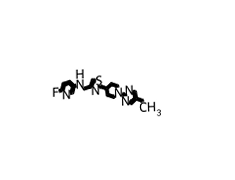 CCc1cnc(N2CCC(c3nc(CNc4ccc(F)nc4)cs3)CC2)nc1